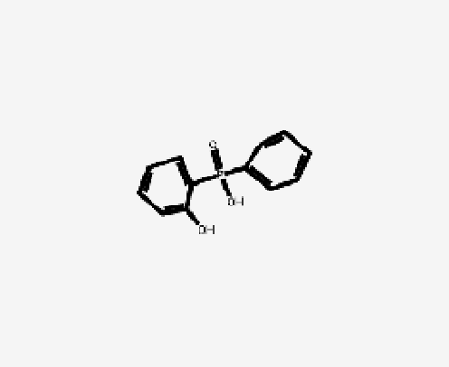 O=P(O)(c1ccccc1)c1ccccc1O